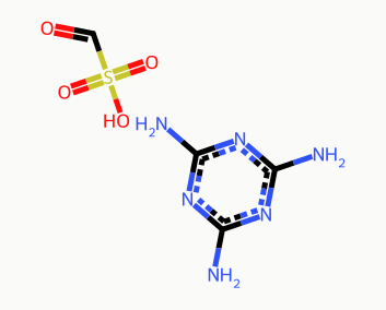 Nc1nc(N)nc(N)n1.O=CS(=O)(=O)O